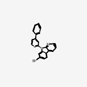 Brc1ccc2c3cccnc3n(-c3cc(-c4ccccc4)ccn3)c2c1